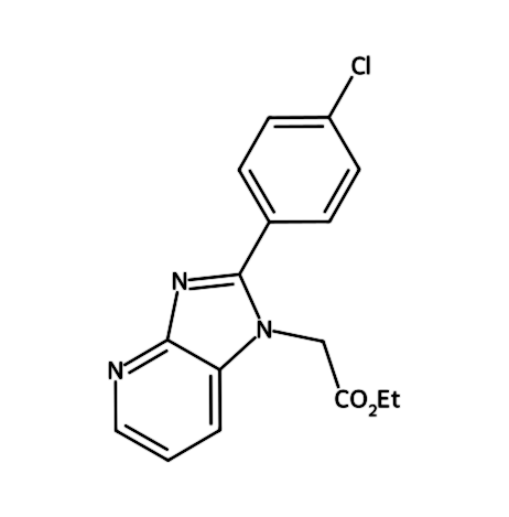 CCOC(=O)Cn1c(-c2ccc(Cl)cc2)nc2ncccc21